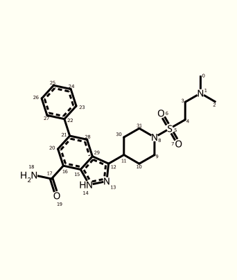 CN(C)CCS(=O)(=O)N1CCC(c2n[nH]c3c(C(N)=O)cc(-c4ccccc4)cc23)CC1